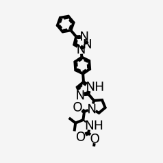 COC(=O)N[C@H](C(=O)N1CCCC1c1ncc(-c2ccc(-n3cc(-c4ccccc4)nn3)cc2)[nH]1)C(C)C